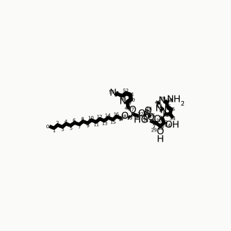 CCCCCCCCCCCCCCCCCCOC[C@H](COP(=O)(O)OC[C@@]1(C)O[C@@H](C2C(C)C=C3C(N)=NC=NN32)[C@H](O)[C@@H]1O)OCc1cccc(C#N)n1